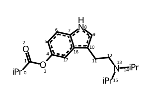 CC(C)C(=O)Oc1ccc2[nH]cc(CCN(C(C)C)C(C)C)c2c1